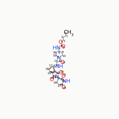 CCCCOC(=O)NC1CCN(C(=O)CNc2cccc3c2C(=O)N(C2CCC(=O)NC2=O)C3=O)CC1